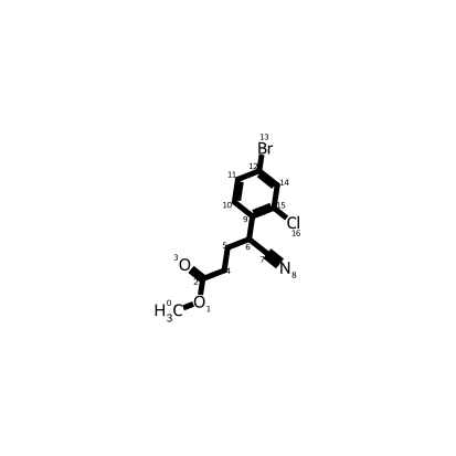 COC(=O)CCC(C#N)c1ccc(Br)cc1Cl